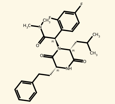 CC(C)C[C@@H]1C(=O)N[C@H](CCc2ccccc2)C(=O)N1[C@@H](C(=O)N(C)C)c1ccc(F)cc1F